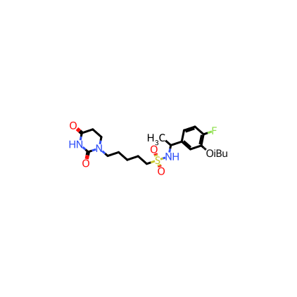 CC(C)COc1cc(C(C)NS(=O)(=O)CCCCCN2CCC(=O)NC2=O)ccc1F